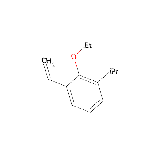 [CH2]C(C)c1cccc(C=C)c1OCC